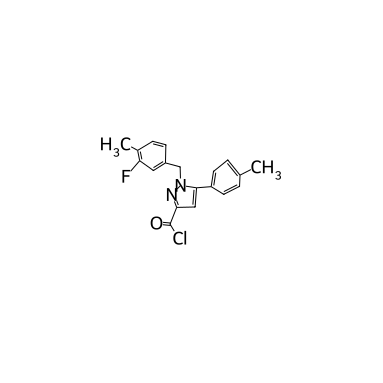 Cc1ccc(-c2cc(C(=O)Cl)nn2Cc2ccc(C)c(F)c2)cc1